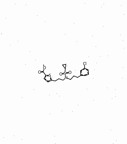 COC(=O)c1ccc(CCCN(CCCc2cccc(Cl)c2)S(=O)(=O)C2CC2)s1